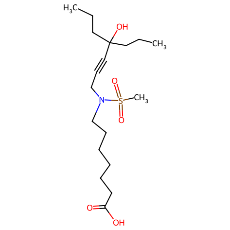 CCCC(O)(C#CCN(CCCCCCC(=O)O)S(C)(=O)=O)CCC